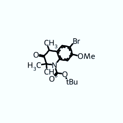 COc1cc2c(cc1Br)C(C)C(=O)C(C)(C)N2C(=O)OC(C)(C)C